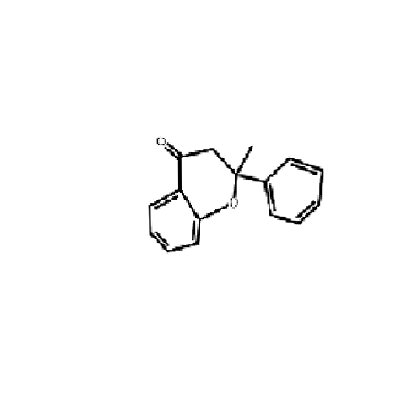 CC1(c2ccccc2)CC(=O)c2ccccc2O1